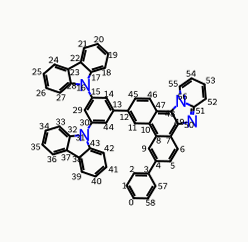 c1ccc(-c2ccc3c(c2)c2cc(-c4cc(-n5c6ccccc6c6ccccc65)cc(-n5c6ccccc6c6ccccc65)c4)ccc2c2c3nc3ccccn32)cc1